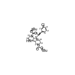 CC(C)(C)OC(=O)N1CCN(CC#Cc2cccc(Cl)c2)CC1.CC(C)(C)OC(=O)N1CCNCC1